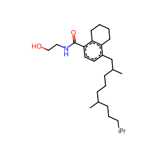 CC(C)CCCC(C)CCCC(C)Cc1ccc(C(=O)NCCO)c2c1CCCC2